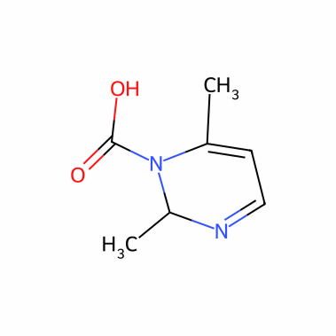 CC1=CC=NC(C)N1C(=O)O